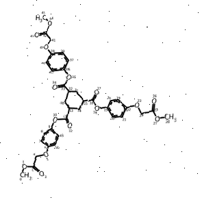 COC(=O)COc1ccc(OC(=O)C2CC(C(=O)Oc3ccc(OCC(=O)OC)cc3)CC(C(=O)Oc3ccc(OCC(=O)OC)cc3)C2)cc1